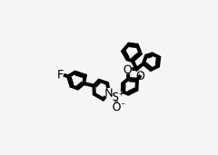 [O-][S+](c1ccc2c(c1)OC(c1ccccc1)(c1ccccc1)O2)N1CC=C(c2ccc(F)cc2)CC1